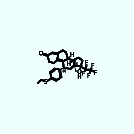 CCSc1ccc([C@H]2C[C@@]3(C)[C@@H](CC[C@]3(O)C(F)(F)C(F)(F)F)[C@@H]3CCC4=CC(=O)CCC4=C32)cc1